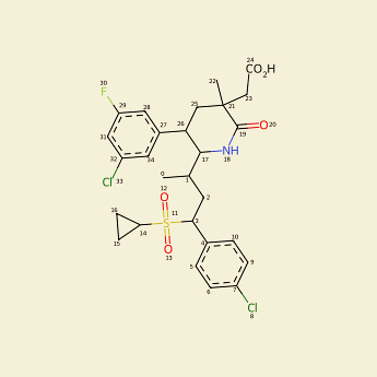 CC(CC(c1ccc(Cl)cc1)S(=O)(=O)C1CC1)C1NC(=O)C(C)(CC(=O)O)CC1c1cc(F)cc(Cl)c1